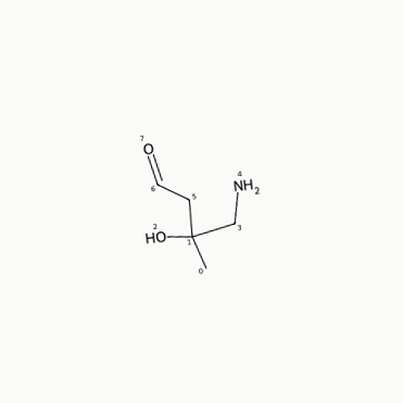 CC(O)(CN)CC=O